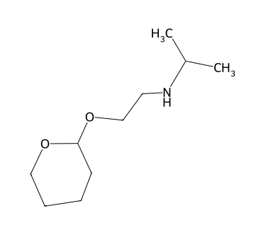 CC(C)NCCOC1CCCCO1